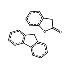 O=C1Cc2ccccc2O1.c1ccc2c(c1)Cc1ccccc1-2